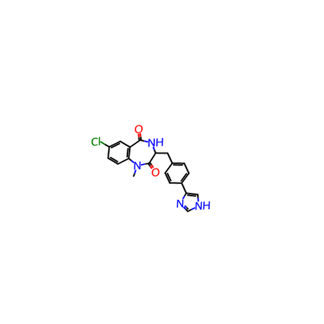 CN1C(=O)C(Cc2ccc(-c3c[nH]cn3)cc2)NC(=O)c2cc(Cl)ccc21